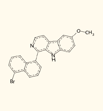 COc1ccc2[nH]c3c(-c4cccc5c(Br)cccc45)nccc3c2c1